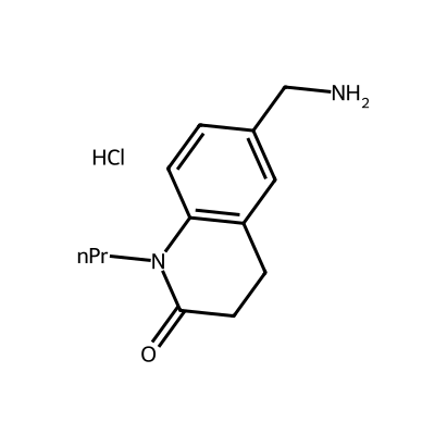 CCCN1C(=O)CCc2cc(CN)ccc21.Cl